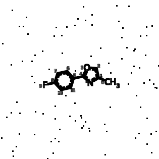 Cc1coc(-c2ccc(F)cc2)n1